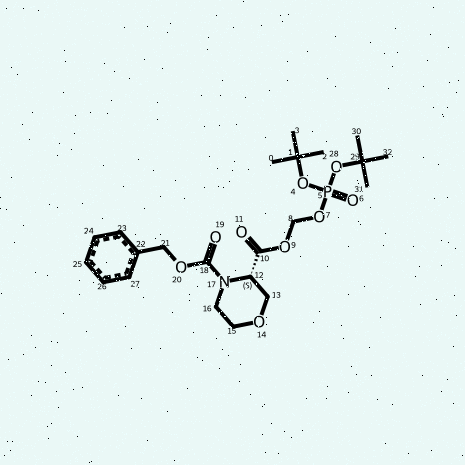 CC(C)(C)OP(=O)(OCOC(=O)[C@@H]1COCCN1C(=O)OCc1ccccc1)OC(C)(C)C